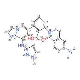 CN(C)c1ccc2c(c1)CCN(c1cccc(-c3cc(Nc4ccn(C)n4)c4nccn4c3)c1CO)C2=O